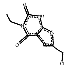 CCn1c(=O)[nH]c2sc(CCl)cc2c1=O